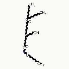 CCCCCCCCOC/C=C\COC(=O)CCCCCN(CCCCO)CCCCCCCC(=O)OC(CCCCCCCC)CCCCCCCC